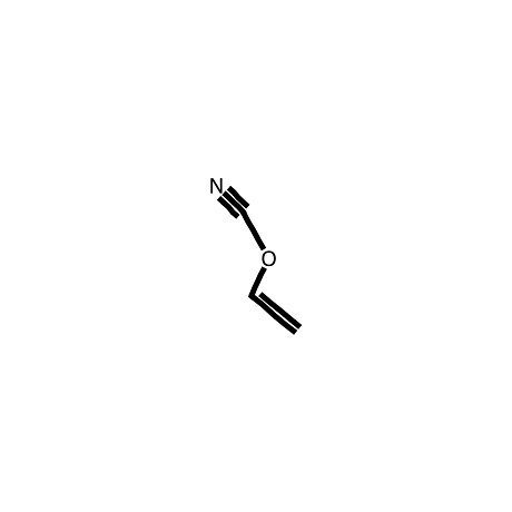 C=COC#N